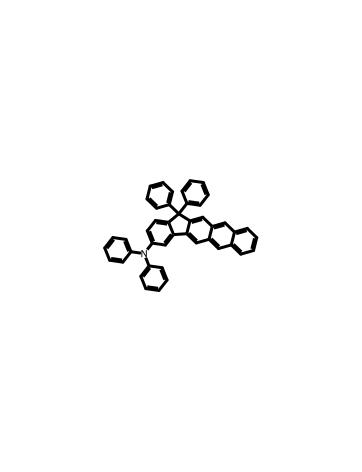 c1ccc(N(c2ccccc2)c2ccc3c(c2)-c2cc4cc5ccccc5cc4cc2C3(c2ccccc2)c2ccccc2)cc1